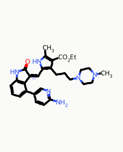 CCOC(=O)c1c(C)[nH]c(/C=C2\C(=O)Nc3cccc(-c4ccc(N)nc4)c32)c1CCCN1CCN(C)CC1